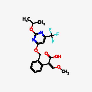 COC=C(C(=O)O)c1ccccc1COc1cc(C(F)(F)F)nc(OC(C)C)n1